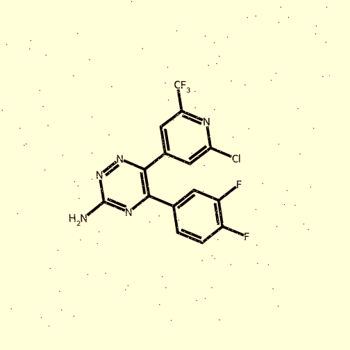 Nc1nnc(-c2cc(Cl)nc(C(F)(F)F)c2)c(-c2ccc(F)c(F)c2)n1